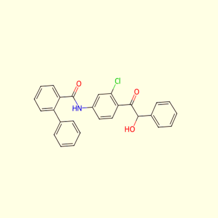 O=C(Nc1ccc(C(=O)C(O)c2ccccc2)c(Cl)c1)c1ccccc1-c1ccccc1